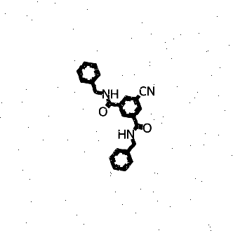 N#Cc1cc(C(=O)NCc2ccccc2)cc(C(=O)NCc2ccccc2)c1